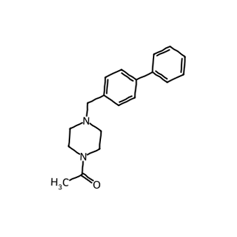 CC(=O)N1CCN(Cc2ccc(-c3ccccc3)cc2)CC1